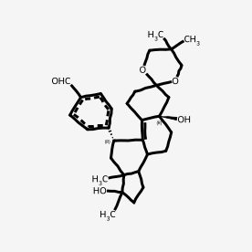 CC1(C)COC2(CCC3=C4C(CC[C@@]3(O)C2)C2CCC(C)(O)C2(C)C[C@@H]4c2ccc(C=O)cc2)OC1